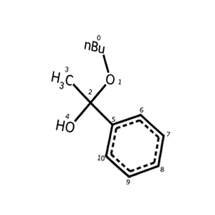 CCCCOC(C)(O)c1ccccc1